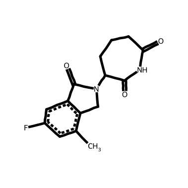 Cc1cc(F)cc2c1CN(C1CCCC(=O)NC1=O)C2=O